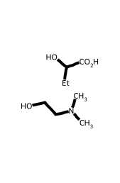 CCC(O)C(=O)O.CN(C)CCO